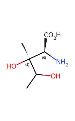 CC(O)[C@@](C)(O)[C@H](N)C(=O)O